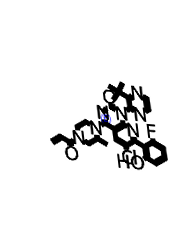 C=CC(=O)N1CCN(/C(=N/C)c2cc(Cl)c(-c3c(O)cccc3F)nc2N(C=O)c2nccnc2C(C)(C)C)C(C)C1